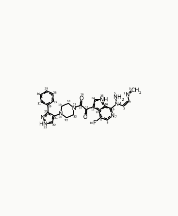 C=N/C=C\N(N)c1ncc(F)c2c(C(=O)C(=O)N3CCN(c4c[nH]nc4-c4ccccc4)CC3)c[nH]c12